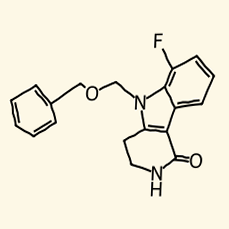 O=C1NCCc2c1c1cccc(F)c1n2COCc1ccccc1